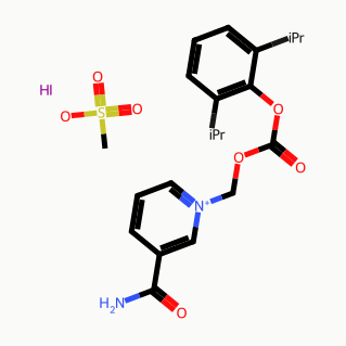 CC(C)c1cccc(C(C)C)c1OC(=O)OC[n+]1cccc(C(N)=O)c1.CS(=O)(=O)[O-].I